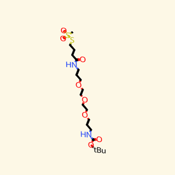 CC(C)(C)OC(=O)NCCCOCCOCCOCCCNC(=O)CCCSS(C)(=O)=O